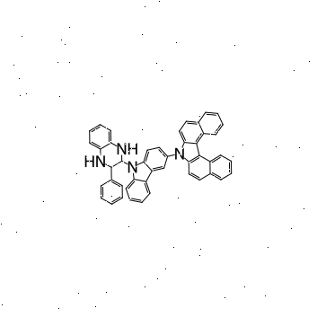 c1ccc(C2Nc3ccccc3NC2n2c3ccccc3c3cc(-n4c5ccc6ccccc6c5c5c6ccccc6ccc54)ccc32)cc1